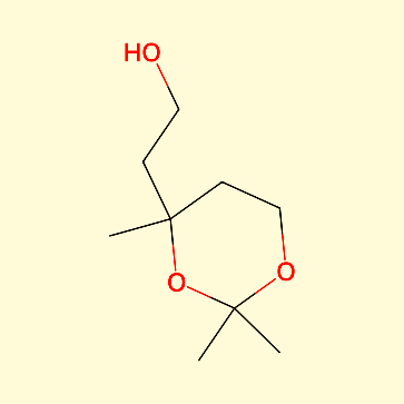 CC1(CCO)CCOC(C)(C)O1